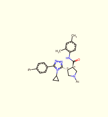 CC(=O)N1C[C@H](C(=O)Nc2ccc(C)cc2C)[C@@H](c2nnc(-c3ccc(C(C)C)cc3)n2C2CC2)C1